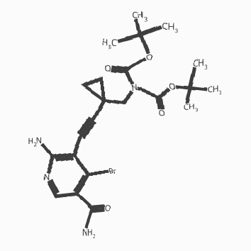 CC(C)(C)OC(=O)N(CC1(C#Cc2c(N)ncc(C(N)=O)c2Br)CC1)C(=O)OC(C)(C)C